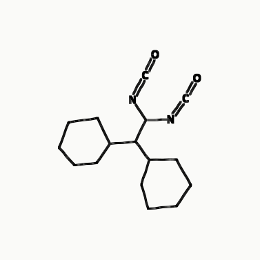 O=C=NC(N=C=O)C(C1CCCCC1)C1CCCCC1